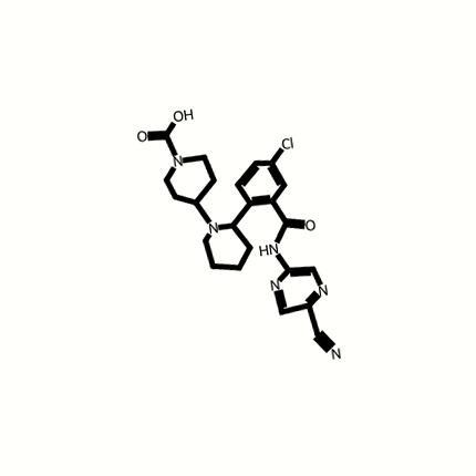 N#Cc1cnc(NC(=O)c2cc(Cl)ccc2C2CCCCN2C2CCN(C(=O)O)CC2)cn1